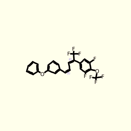 Fc1cc(/C(=C\C=C/c2cccc(Oc3ccccc3)c2)C(F)(F)F)cc(F)c1OC(F)(F)F